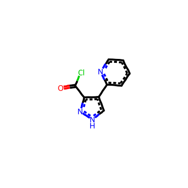 O=C(Cl)c1n[nH]cc1-c1ccccn1